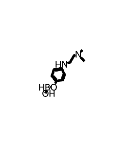 CN(C)CCNc1ccc(OBO)cc1